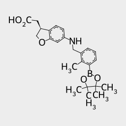 Cc1c(CNc2ccc3c(c2)OC[C@H]3CC(=O)O)cccc1B1OC(C)(C)C(C)(C)O1